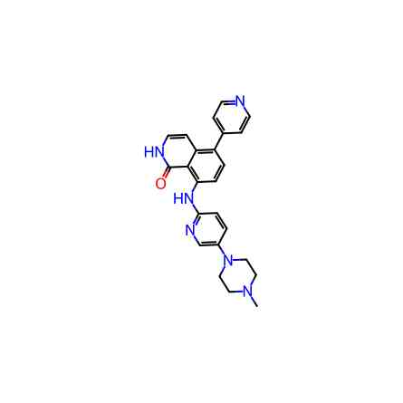 CN1CCN(c2ccc(Nc3ccc(-c4ccncc4)c4cc[nH]c(=O)c34)nc2)CC1